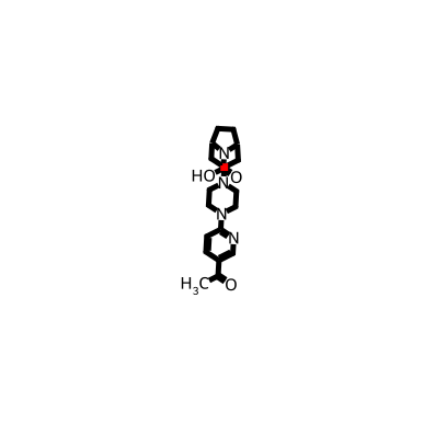 CC(=O)c1ccc(N2CCN(C3CC4CCC(C3)N4C(=O)O)CC2)nc1